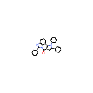 O=c1c2cc(-c3ccccc3)n(-c3ccccc3)c2c2cccc3nc(-c4ccccc4)n1c32